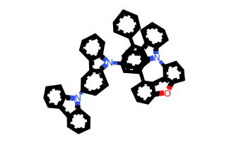 c1ccc(-c2ccc(-c3cccc4oc5cccc(-n6c7ccccc7c7cc(-n8c9ccccc9c9cc(-n%10c%11ccccc%11c%11ccccc%11%10)ccc98)ccc76)c5c34)cc2)cc1